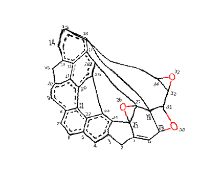 C1=C2Cc3cc4ccc5cc6c7c8c(cc9c%10c8c8c%11c7c5c4c-%11c3C23OC83C%102C1OC2C1OC91)C6